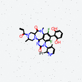 C=CC(=O)N1CC2C(=O)N(C)c3c(F)c(-c4c(O)cccc4O)c(F)c4c3c(nc(=O)n4-c3c(C)ccnc3C(C)C)N2CC1C